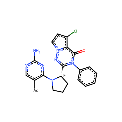 CC(=O)c1cnc(N)nc1N1CCC[C@H]1c1nn2ccc(Cl)c2c(=O)n1-c1ccccc1